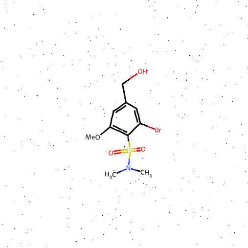 COc1cc(CO)cc(Br)c1S(=O)(=O)N(C)C